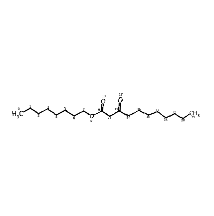 CCCCCCCCOC(=O)CC(=O)CCCCCCCC